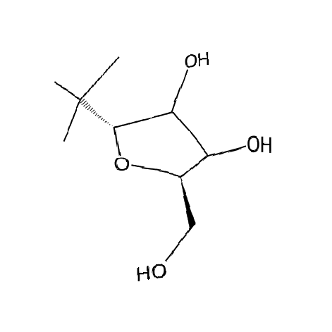 CC(C)(C)[C@H]1O[C@H](CO)C(O)C1O